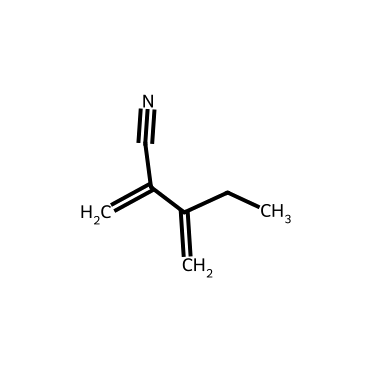 C=C(C#N)C(=C)CC